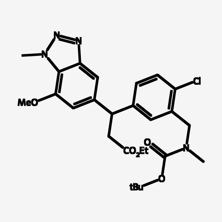 CCOC(=O)CC(c1ccc(Cl)c(CN(C)C(=O)OC(C)(C)C)c1)c1cc(OC)c2c(c1)nnn2C